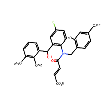 COc1ccc(CN(C(=O)C=CC(=O)O)c2ccc(F)cc2C(O)c2cccc(OC)c2OC)c(OC)c1